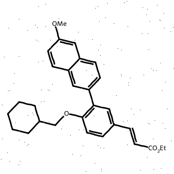 CCOC(=O)/C=C/c1ccc(OCC2CCCCC2)c(-c2ccc3cc(OC)ccc3c2)c1